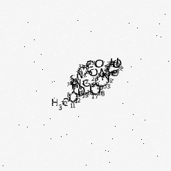 CO[C@H]1CN(c2nc(-c3cc(C)ccc3OCc3ccc4c(c3C)CCN(C3CCOCC3)CC4)cs2)CC[C@H]1C(=O)O